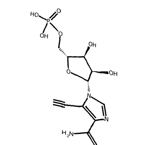 C#Cc1c(C(N)=O)ncn1[C@@H]1O[C@H](COP(=O)(O)O)[C@@H](O)[C@H]1O